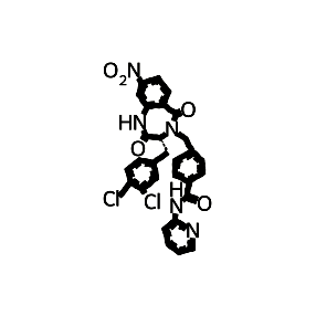 O=C(Nc1ccccn1)c1ccc(CN2C(=O)c3ccc([N+](=O)[O-])cc3NC(=O)[C@H]2Cc2ccc(Cl)c(Cl)c2)cc1